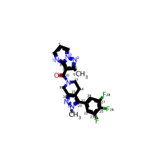 Cc1nn2cccnc2c1C(=O)N1CCc2c(nn(C)c2-c2cc(F)c(F)c(F)c2)C1